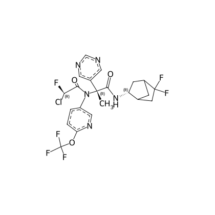 C[C@](C(=O)N[C@@H]1CC2CC1CC2(F)F)(c1cncnc1)N(C(=O)[C@H](F)Cl)c1ccc(OC(F)(F)F)nc1